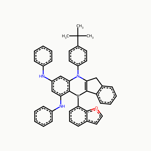 CC(C)(C)c1ccc(N2C3=C(B(c4cccc5ccoc45)c4c(Nc5ccccc5)cc(Nc5ccccc5)cc42)c2ccccc2C3)cc1